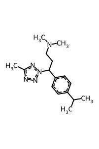 Cc1nnn(C(CCN(C)C)c2ccc(C(C)C)cc2)n1